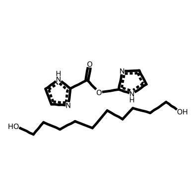 O=C(Oc1ncc[nH]1)c1ncc[nH]1.OCCCCCCCCCCO